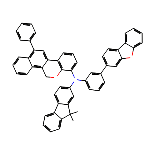 CC1(C)c2ccccc2-c2ccc(N(c3cccc(-c4ccc5c(c4)oc4ccccc45)c3)c3cccc4c3OCc3c-4cc(-c4ccccc4)c4ccccc34)cc21